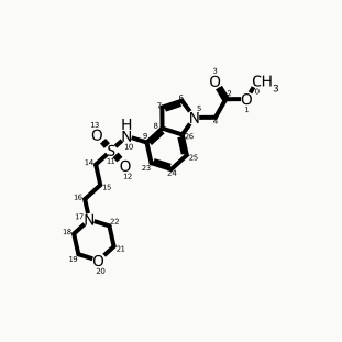 COC(=O)Cn1ccc2c(NS(=O)(=O)CCCN3CCOCC3)cccc21